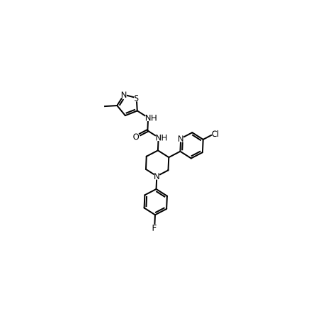 Cc1cc(NC(=O)NC2CCN(c3ccc(F)cc3)CC2c2ccc(Cl)cn2)sn1